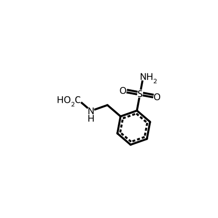 NS(=O)(=O)c1ccccc1CNC(=O)O